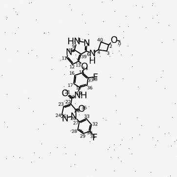 COC1CC(Nc2n[nH]c3nccc(Oc4ccc(NC(=O)c5ccnn(-c6ccc(F)cc6)c5=O)cc4F)c23)C1